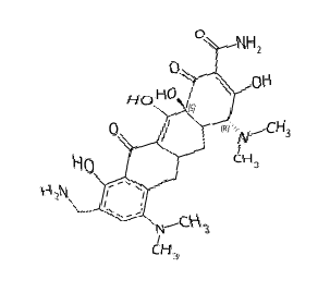 CN(C)c1cc(CN)c(O)c2c1CC1CC3[C@@H](N(C)C)C(O)=C(C(N)=O)C(=O)[C@@]3(O)C(O)=C1C2=O